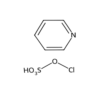 O=S(=O)(O)OCl.c1ccncc1